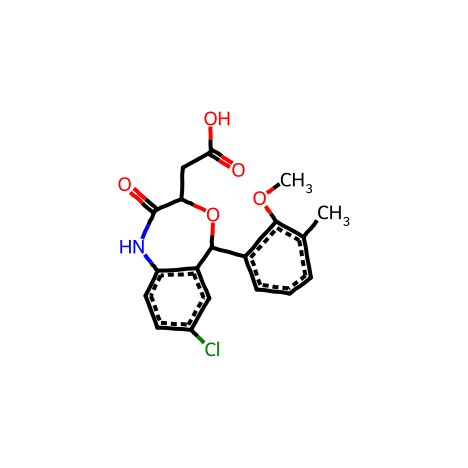 COc1c(C)cccc1C1OC(CC(=O)O)C(=O)Nc2ccc(Cl)cc21